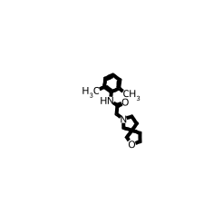 Cc1cccc(C)c1NC(=O)CN1CCC2(CCOC2)C1